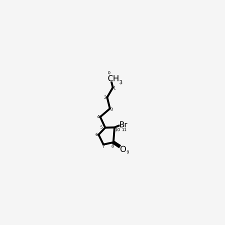 CCCCCC1CCC(=O)C1Br